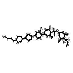 CCCCCC1CCC(c2ccc(-c3ccc(-c4cc(F)c(C(F)(F)Oc5cc(F)c(C(F)(F)CF)c(F)c5)c(F)c4)c(F)c3)cc2)CC1